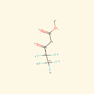 COC(=O)CC(=O)C(F)(F)C(F)(F)F